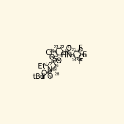 CCC1C[C@@H](S(=O)(=O)c2cc(C(=O)Nc3cc(F)c(F)c(F)c3)ccc2Cl)C[C@H](C)N1C(=O)OC(C)(C)C